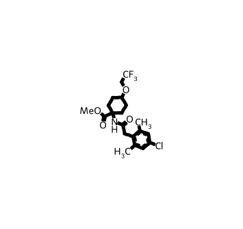 COC(=O)C1(NC(=O)Cc2c(C)cc(Cl)cc2C)CCC(OCC(F)(F)F)CC1